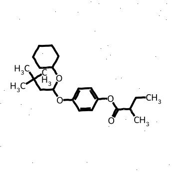 CCC(C)C(=O)Oc1ccc(OC(CC(C)(C)C)OC2CCCCC2)cc1